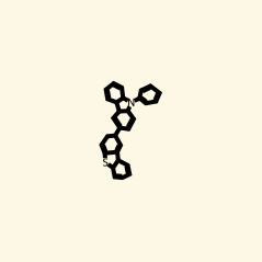 C1=CC2SC3=CCC(C4=CC5C6C=CC=CC6N(c6ccccc6)C5C=C4)C=C3C2C=C1